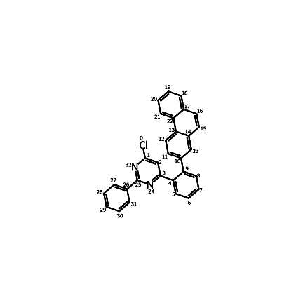 Clc1cc(-c2ccccc2-c2ccc3c(ccc4ccccc43)c2)nc(-c2ccccc2)n1